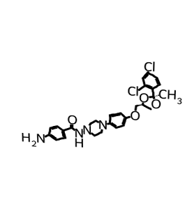 C[C@]1(c2ccc(Cl)cc2Cl)OC[C@@H](COc2ccc(N3CCN(NC(=O)c4ccc(N)cc4)CC3)cc2)O1